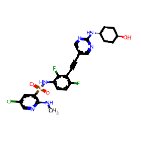 CNc1ncc(Cl)cc1S(=O)(=O)Nc1ccc(F)c(C#Cc2cnc(N[C@H]3CC[C@H](O)CC3)nc2)c1F